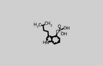 CC(C)CCc1c[nH]c2cccc(OP(=O)(O)O)c12